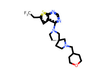 FC(F)(F)Cc1cc2c(N3CC[C@]4(CCN(CC5CCOCC5)C4)C3)ncnc2s1